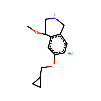 COC1CNCc2ccc(OCC3CC3)cc21.Cl